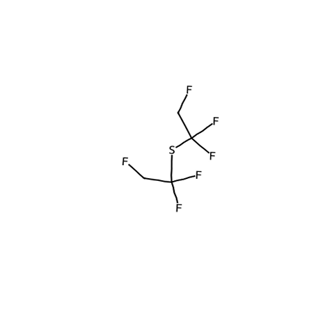 FCC(F)(F)SC(F)(F)CF